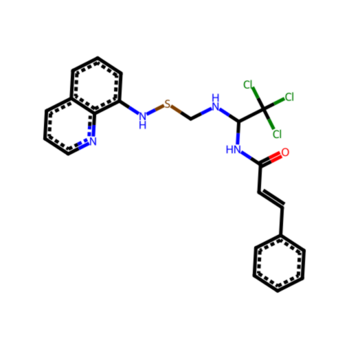 O=C(C=Cc1ccccc1)NC(NCSNc1cccc2cccnc12)C(Cl)(Cl)Cl